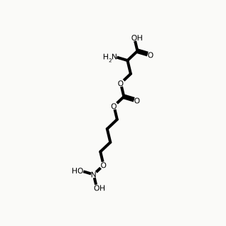 NC(COC(=O)OCCCCON(O)O)C(=O)O